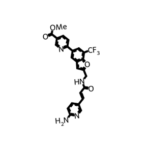 COC(=O)c1ccc(-c2cc(C(F)(F)F)c3oc(CNC(=O)C=Cc4ccc(N)nc4)cc3c2)nc1